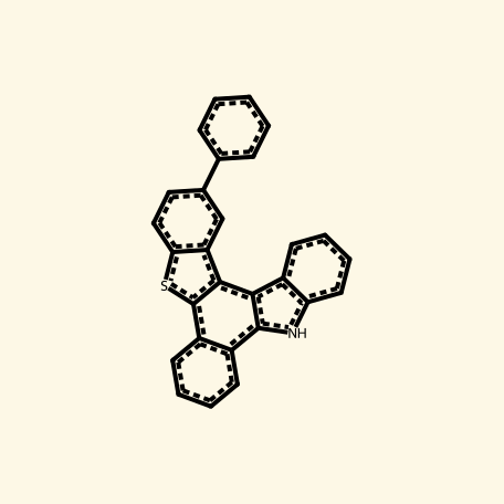 c1ccc(-c2ccc3sc4c5ccccc5c5[nH]c6ccccc6c5c4c3c2)cc1